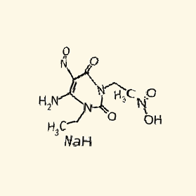 CCn1c(N)c(N=O)c(=O)n(CC)c1=O.O=NO.[NaH]